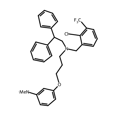 C[N]c1cccc(OCCCN(Cc2cccc(C(F)(F)F)c2Cl)CC(c2ccccc2)c2ccccc2)c1